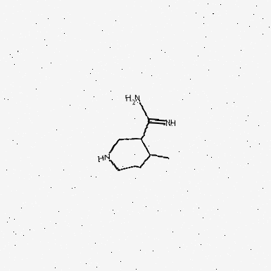 CC1CCNCC1C(=N)N